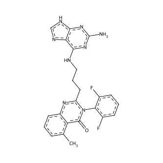 Cc1cccc2nc(CCCNc3nc(N)nc4[nH]cnc34)n(-c3c(F)cccc3F)c(=O)c12